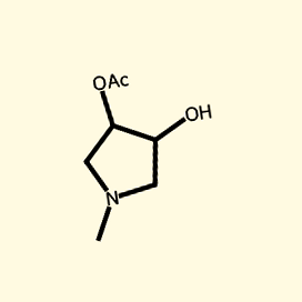 CC(=O)OC1CN(C)CC1O